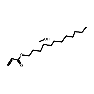 C=CC(=O)OCCCCCCCCCCCC.CO